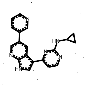 c1cncc(-c2cnc3[nH]cc(-c4ccnc(NC5CC5)n4)c3c2)c1